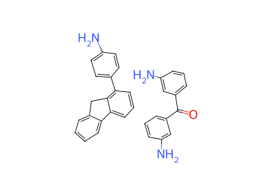 Nc1ccc(-c2cccc3c2Cc2ccccc2-3)cc1.Nc1cccc(C(=O)c2cccc(N)c2)c1